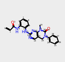 C=CC(=O)Nc1ccccc1Nc1ncc2c(n1)N(C)C(=O)N(c1ccccc1)C2